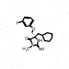 CN1C(=N)N[C@](COc2cccc(F)c2)(CC2CCCCC2)C1=O